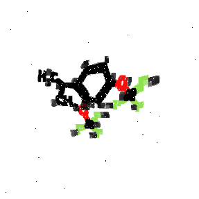 CC(C)c1ccc(OC(F)(F)F)cc1OC(F)(F)F